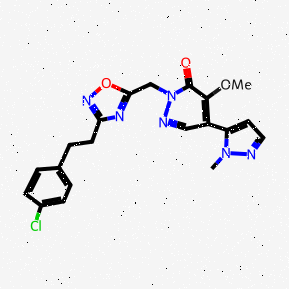 COc1c(-c2ccnn2C)cnn(Cc2nc(CCc3ccc(Cl)cc3)no2)c1=O